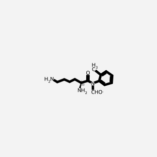 Cc1ccccc1N([C]=O)C(=O)[C@@H](N)CCCCN